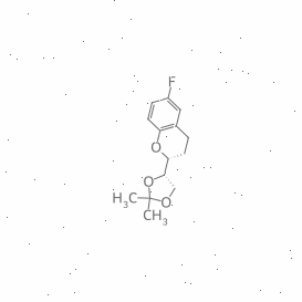 CC1(C)OC[C@@H]([C@H]2CCc3cc(F)ccc3O2)O1